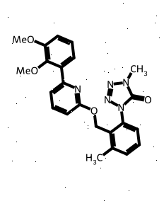 COc1cccc(-c2cccc(OCc3c(C)cccc3-n3nnn(C)c3=O)n2)c1OC